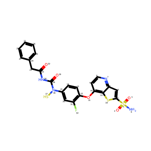 NS(=O)(=O)c1cc2nccc(Oc3ccc(N(S)C(=O)NC(=O)Cc4ccccc4)cc3F)c2s1